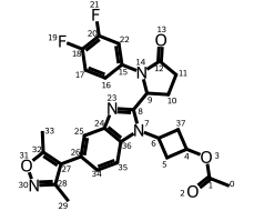 CC(=O)OC1CC(n2c(C3CCC(=O)N3c3ccc(F)c(F)c3)nc3cc(-c4c(C)noc4C)ccc32)C1